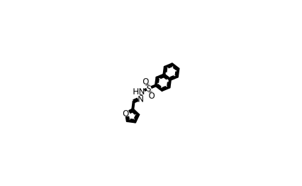 O=S(=O)(NN=Cc1ccco1)c1ccc2ccccc2c1